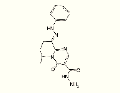 CC1CC/C(=N\Nc2ccccc2)c2ncc(C(=O)NN)c(=O)n21